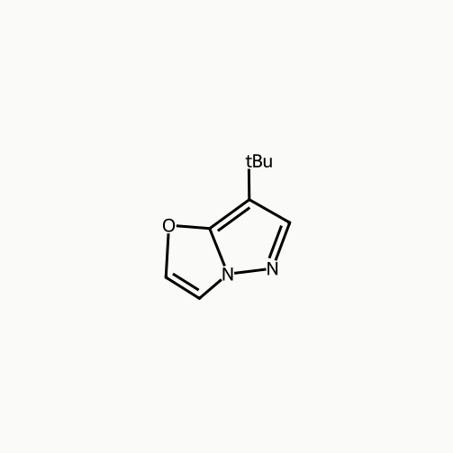 CC(C)(C)c1cnn2ccoc12